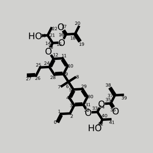 C=CCc1cc(C(C)(C)c2ccc(OC(OC(=O)C(=C)C)C(C)O)c(CC=C)c2)ccc1OC(OC(=O)C(=C)C)C(C)O